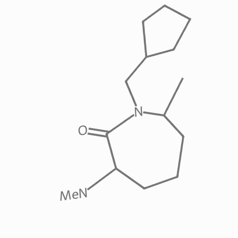 CNC1CCCC(C)N(CC2CCCC2)C1=O